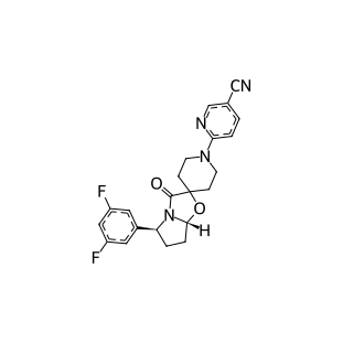 N#Cc1ccc(N2CCC3(CC2)O[C@@H]2CC[C@@H](c4cc(F)cc(F)c4)N2C3=O)nc1